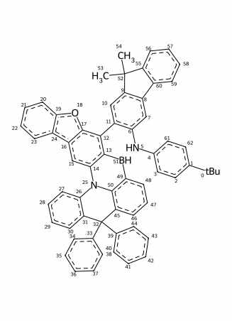 CC(C)(C)c1ccc(Nc2cc3c(cc2-c2c4c(cc5c2oc2ccccc25)N2c5ccccc5C(c5ccccc5)(c5ccccc5)c5cccc(c52)B4)C(C)(C)c2ccccc2-3)cc1